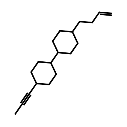 C=CCCC1CCC(C2CCC(C#CC)CC2)CC1